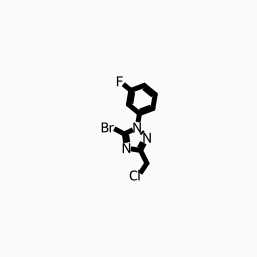 Fc1cccc(-n2nc(CCl)nc2Br)c1